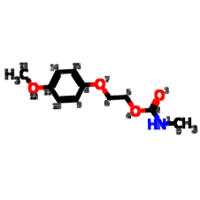 CNC(=O)OCCOc1ccc(OC)cc1